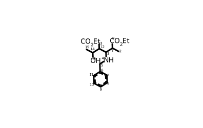 CCOC(=O)C(C)C(NCc1ccccc1)C(C(=O)OCC)C(C)O